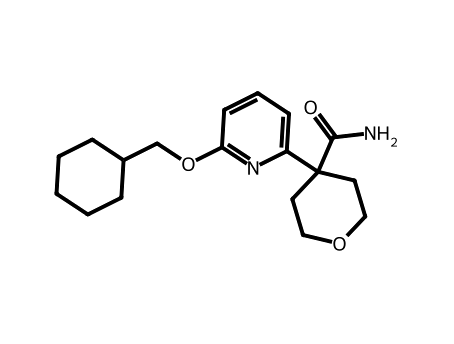 NC(=O)C1(c2cccc(OCC3CCCCC3)n2)CCOCC1